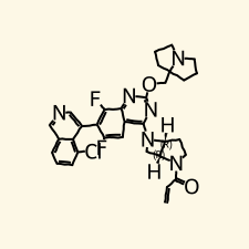 C=CC(=O)N1CC[C@@H]2[C@H]1CN2c1nc(OCC23CCCN2CCC3)nc2c(F)c(-c3cncc4cccc(Cl)c34)c(F)cc12